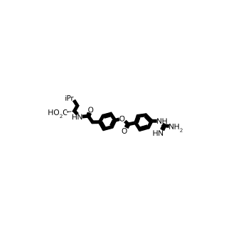 CC(C)C[C@H](NC(=O)Cc1ccc(OC(=O)c2ccc(NC(=N)N)cc2)cc1)C(=O)O